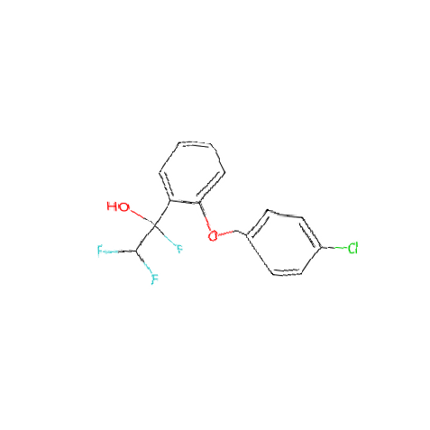 OC(F)(c1ccccc1Oc1ccc(Cl)cc1)C(F)F